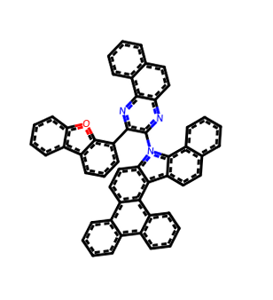 c1ccc2c(c1)ccc1nc(-n3c4ccc5c6ccccc6c6ccccc6c5c4c4ccc5ccccc5c43)c(-c3cccc4c3oc3ccccc34)nc12